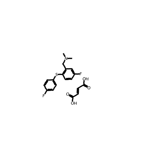 CN(C)Cc1cc(F)ccc1Sc1ccc(F)cc1.O=C(O)C=CC(=O)O